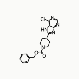 O=C(OCc1ccccc1)N1CCC(c2nc3ncnc(Cl)c3[nH]2)CC1